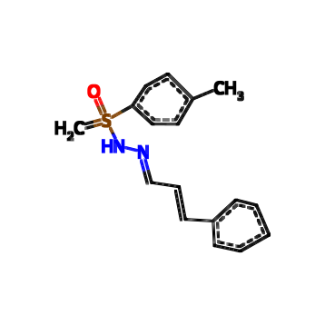 C=S(=O)(N/N=C/C=C/c1ccccc1)c1ccc(C)cc1